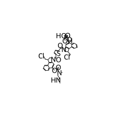 CNCCN(C)C(=O)Oc1cc2c(c3ccccc13)C(CCl)CN2C(=O)c1ccc(C(=O)N2CC(CCl)c3c2cc(OP(=O)(O)O)c2ccccc32)s1